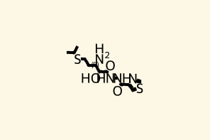 CC(C)SCC[C@@H](N)C(O)C(=O)NNC(=O)c1cscn1